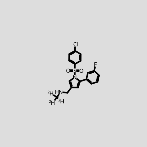 [2H]C([2H])([2H])NCc1cc(-c2cccc(F)c2)n(S(=O)(=O)c2ccc(Cl)cc2)c1